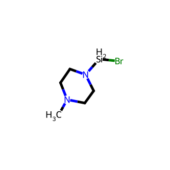 CN1CCN([SiH2]Br)CC1